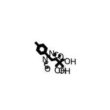 Cc1ccc(C(CCC(CO)(CO)CO)(N=C=O)N=C=O)cc1